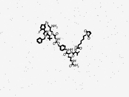 CC(C)[C@H](NC(=O)CCCCCN1C(=O)C=CC1=O)C(=O)N[C@@H](CCCNC(N)=O)C(=O)Nc1ccc(COC(=O)NCC(=O)N(CC[C@H](N)CF)[C@@H](c2nc(-c3cc(F)ccc3F)cn2Cc2ccccc2)C(C)(C)C)cc1